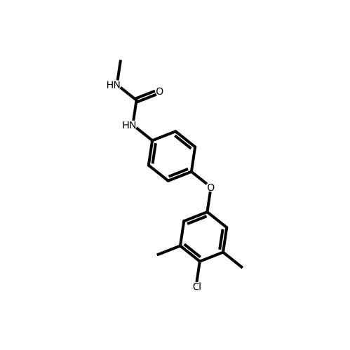 CNC(=O)Nc1ccc(Oc2cc(C)c(Cl)c(C)c2)cc1